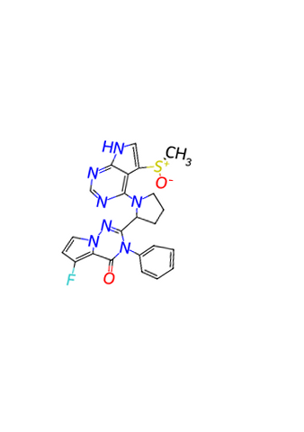 C[S@@+]([O-])c1c[nH]c2ncnc(N3CCCC3c3nn4ccc(F)c4c(=O)n3-c3ccccc3)c12